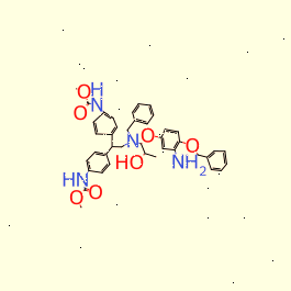 COC(=O)Nc1ccc(C(CN(Cc2ccccc2)C(Oc2ccc(OCc3ccccc3)c(N)c2)C(C)O)c2ccc(NC(=O)OC)cc2)cc1